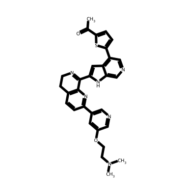 CC(=O)c1ccc(-c2cncc3[nH]c(C4=NCCc5ccc(-c6cncc(OCCN(C)C)c6)nc54)cc23)s1